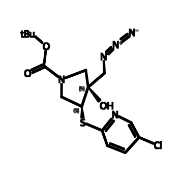 CC(C)(C)OC(=O)N1C[C@H](Sc2ccc(Cl)cn2)[C@@](O)(CN=[N+]=[N-])C1